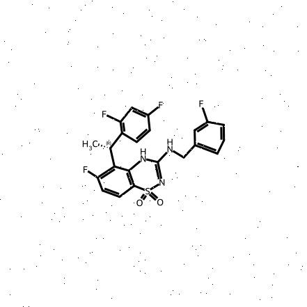 C[C@H](c1ccc(F)cc1F)c1c(F)ccc2c1NC(NCc1cccc(F)c1)=NS2(=O)=O